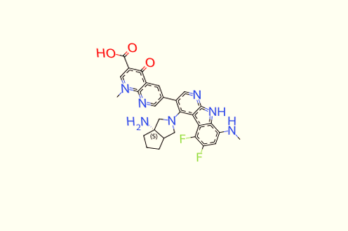 CNc1cc(F)c(F)c2c1[nH]c1ncc(-c3cnc4c(c3)c(=O)c(C(=O)O)cn4C)c(N3CC4CCC[C@@]4(N)C3)c12